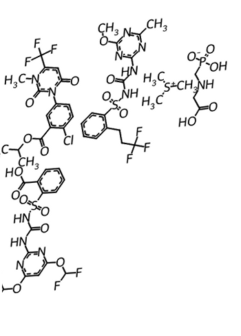 CC(C)OC(=O)c1cc(-n2c(=O)cc(C(F)(F)F)n(C)c2=O)ccc1Cl.COc1nc(C)nc(NC(=O)NS(=O)(=O)c2ccccc2CCC(F)(F)F)n1.C[S+](C)C.O=C(Nc1nc(OC(F)F)cc(OC(F)F)n1)NS(=O)(=O)c1ccccc1C(=O)O.O=C(O)CNCP(=O)([O-])O